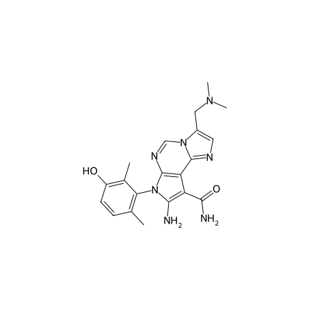 Cc1ccc(O)c(C)c1-n1c(N)c(C(N)=O)c2c1ncn1c(CN(C)C)cnc21